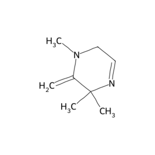 C=C1N(C)CC=NC1(C)C